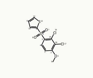 COc1ccc(S(=O)(=O)c2cccs2)c(Cl)c1Cl